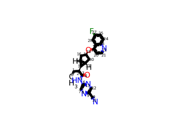 CCC(C(=O)Nc1cnc(C#N)cn1)[C@H]1[C@@H]2C[C@@H](Oc3ccnc4ccc(F)cc34)C[C@@H]21